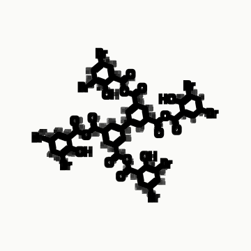 O=C(OC(=O)c1cc(Br)cc(Br)c1O)c1cc(C(=O)OC(=O)c2cc(Br)cc(Br)c2O)cc(-c2cc(C(=O)OC(=O)c3cc(Br)cc(Br)c3O)cc(C(=O)OC(=O)c3cc(Br)cc(Br)c3O)c2)c1